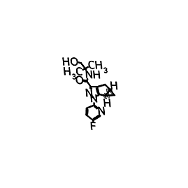 CC(C)(CO)NC(=O)c1nn(-c2ccc(F)cn2)c2c1C[C@H]1C[C@@H]21